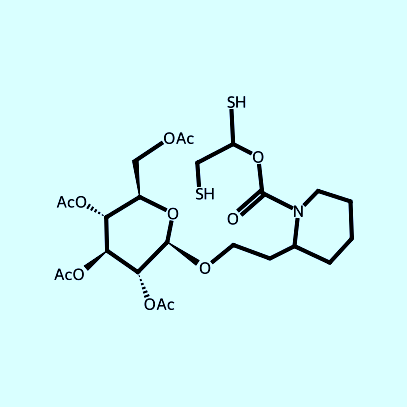 CC(=O)OC[C@H]1O[C@@H](OCCC2CCCCN2C(=O)OC(S)CS)[C@H](OC(C)=O)[C@@H](OC(C)=O)[C@@H]1OC(C)=O